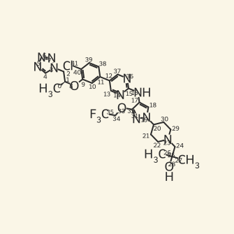 C[C@@H](Cn1cnnn1)Oc1cc(-c2cnc(Nc3cn(C4CCN(CC(C)(C)O)CC4)nc3OCC(F)(F)F)nc2)ccc1Cl